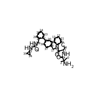 CC(C)(N)C(=O)N[C@@H]1CCc2ccccc2N(Cc2ccc(-c3ccccc3CNC(=O)NC3CC3)cc2)C1=O